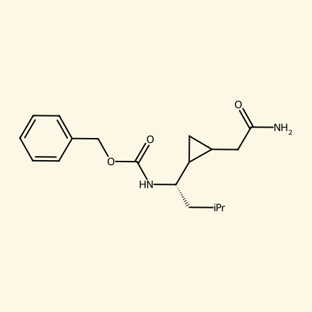 CC(C)C[C@H](NC(=O)OCc1ccccc1)C1CC1CC(N)=O